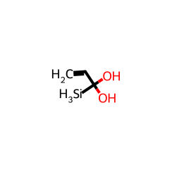 C=CC(O)(O)[SiH3]